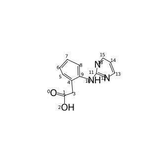 O=C(O)Cc1ccccc1Nc1ncccn1